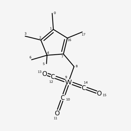 CC1=C(C)C(C)(C)C([CH2][W](=[C]=O)(=[C]=O)=[C]=O)=C1C